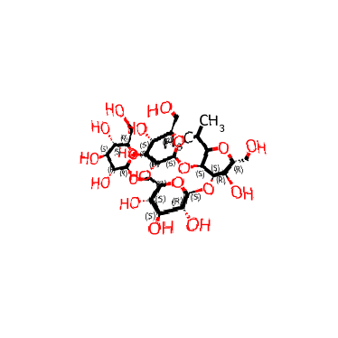 CC(C)C1O[C@H](CO)[C@@H](O)[C@H](O[C@@H]2O[C@H](CO[C@@H]3O[C@H](CO)[C@@H](O)[C@H](O)[C@H]3O)[C@@H](O)[C@H](O)[C@H]2O)[C@H]1O[C@@H]1O[C@H](CO)[C@@H](O)[C@H](O)[C@H]1O